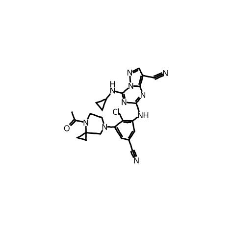 CC(=O)N1CCN(c2cc(C#N)cc(Nc3nc(NC4CC4)n4ncc(C#N)c4n3)c2Cl)CC12CC2